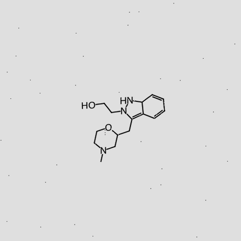 CN1CCOC(CC2=C3C=CC=CC3NN2CCO)C1